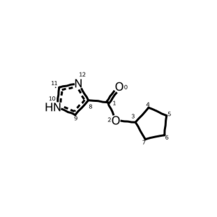 O=C(OC1CCCC1)c1c[nH][c]n1